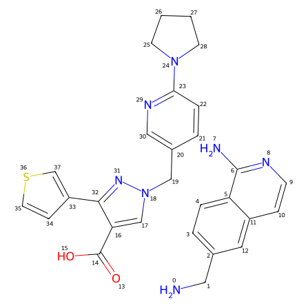 NCc1ccc2c(N)nccc2c1.O=C(O)c1cn(Cc2ccc(N3CCCC3)nc2)nc1-c1ccsc1